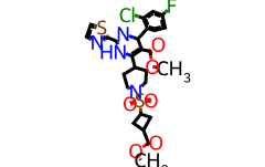 COC(=O)C1=C(C2CCN(S(=O)(=O)C3CC(C(=O)OC)C3)CC2)NC(c2nccs2)=NC1c1ccc(F)cc1Cl